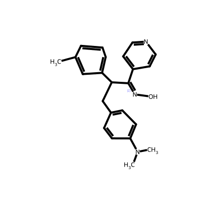 Cc1cccc(C(Cc2ccc(N(C)C)cc2)/C(=N/O)c2ccncc2)c1